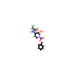 C[C@@]1(O)CN(C(=O)OCc2ccccc2)CC[C@H]1NC(=O)CCl